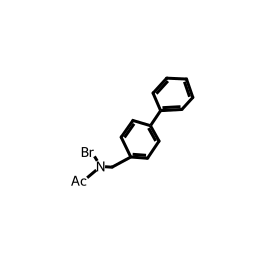 CC(=O)N(Br)Cc1ccc(-c2ccccc2)cc1